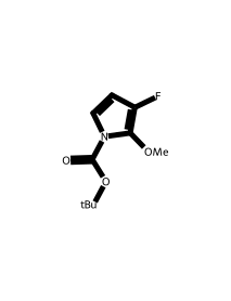 COc1c(F)ccn1C(=O)OC(C)(C)C